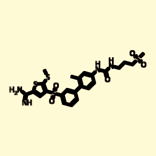 CSc1sc(C(=N)N)cc1S(=O)(=O)c1cccc(-c2ccc(NC(=O)NCCCS(C)(=O)=O)cc2C)c1